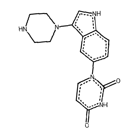 O=c1ccn(-c2ccc3[nH]cc(N4CCNCC4)c3c2)c(=O)[nH]1